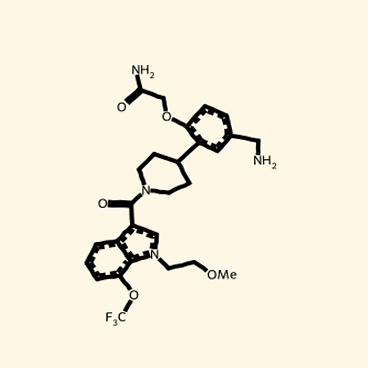 COCCn1cc(C(=O)N2CCC(c3cc(CN)ccc3OCC(N)=O)CC2)c2cccc(OC(F)(F)F)c21